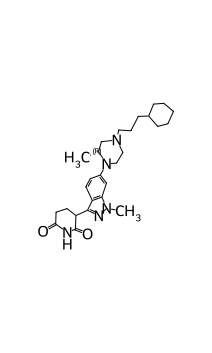 C[C@@H]1CN(CCCC2CCCCC2)CCN1c1ccc2c(C3CCC(=O)NC3=O)nn(C)c2c1